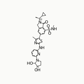 CNS(=O)(=O)c1cc(-c2sc(Nc3cccc(N4CC[C@H](O)C4O)n3)nc2C)cc2c1C(=O)N([C@@H](C)C1CC1)C2